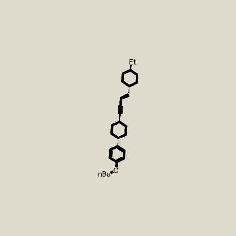 CCCCOc1ccc([C@H]2CC[C@H](C#CC=C[C@H]3CC[C@H](CC)CC3)CC2)cc1